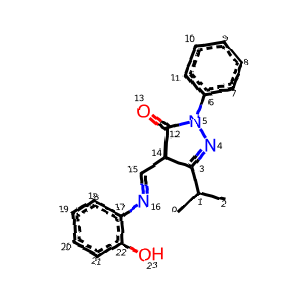 CC(C)C1=NN(c2ccccc2)C(=O)C1/C=N/c1ccccc1O